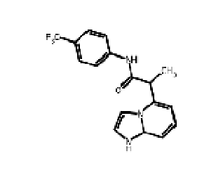 CC(C(=O)Nc1ccc(C(F)(F)F)cc1)C1=CC=CC2NC=CN12